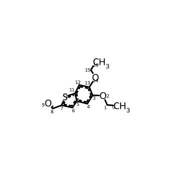 CCOc1cc2cc(C=O)sc2cc1OCC